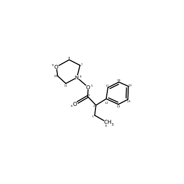 CCC(C(=O)ON1CCOCC1)c1ccccc1